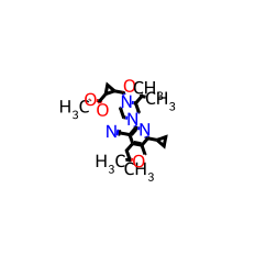 COC(=O)C1CC1C(=O)N1CCN(c2nc(C3CC3)c3c(c2C#N)CC(C)(C)OC3)CC1C(C)C